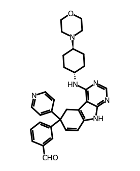 O=Cc1cccc(C2(c3ccncc3)C=Cc3[nH]c4ncnc(N[C@H]5CC[C@H](N6CCOCC6)CC5)c4c3C2)c1